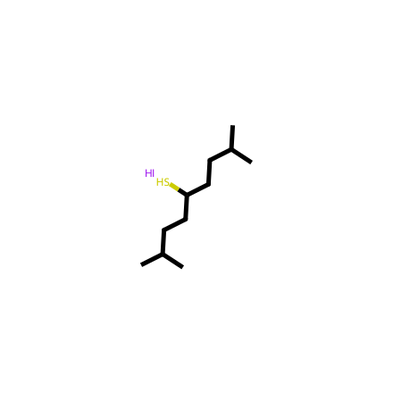 CC(C)CCC(S)CCC(C)C.I